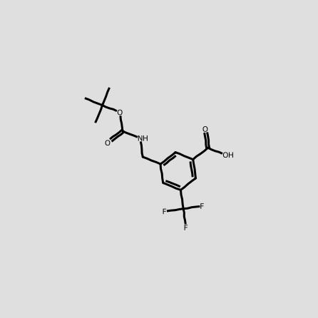 CC(C)(C)OC(=O)NCc1cc(C(=O)O)cc(C(F)(F)F)c1